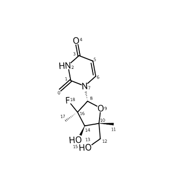 C=C1NC(=O)C=CN1[C@@H]1O[C@](C)(CO)[C@@H](O)[C@@]1(C)F